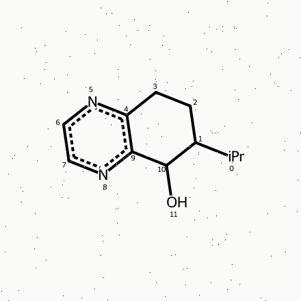 CC(C)C1CCc2nccnc2C1O